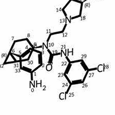 Nc1cccc([C@@]23CC[C@@H](N(CCN4CC[C@@H](O)C4)C(=O)Nc4cc(Cl)cc(Cl)c4)CC2C3)c1